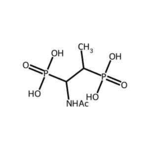 CC(=O)NC(C(C)P(=O)(O)O)P(=O)(O)O